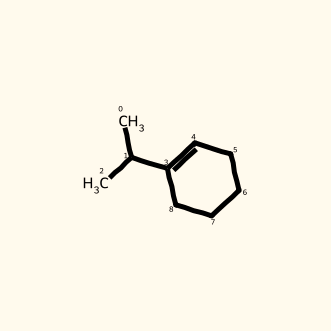 CC(C)C1=[C]CCCC1